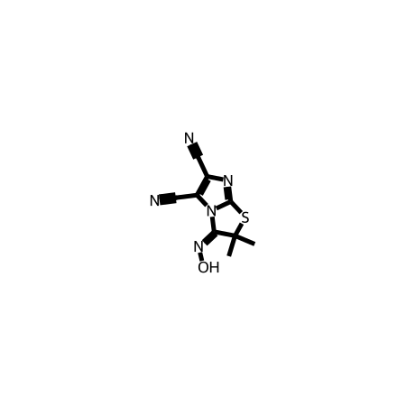 CC1(C)Sc2nc(C#N)c(C#N)n2/C1=N/O